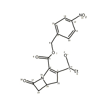 CC[S+]([O-])C1=C(C(=O)OCc2ccc([N+](=O)[O-])cc2)N2C(=O)CC2C1